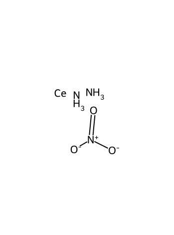 N.N.O=[N+]([O-])[O-].[Ce]